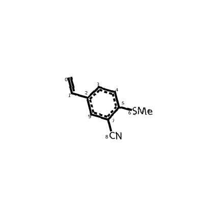 C=Cc1ccc(SC)c(C#N)c1